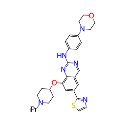 CC(C)N1CCC(Oc2cc(-c3nccs3)cc3cnc(Nc4ccc(N5CCOCC5)cc4)nc23)CC1